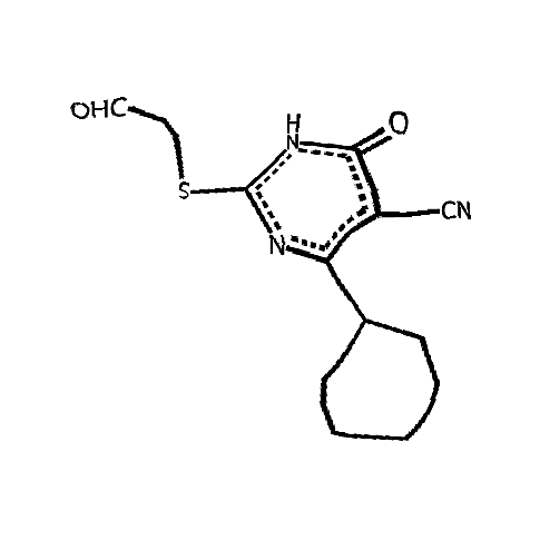 N#Cc1c(C2CCCCC2)nc(SCC=O)[nH]c1=O